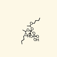 CCCCOC(C)OP(=O)(OC(C)OCCCC)OP(=O)(O)O